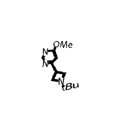 COc1cc(C2CN(C(C)(C)C)C2)ncn1